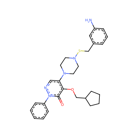 Nc1cccc(CSN2CCN(c3cnn(-c4ccccc4)c(=O)c3OCC3CCCC3)CC2)c1